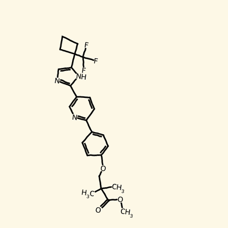 COC(=O)C(C)(C)COc1ccc(-c2ccc(-c3ncc(C4(C(F)(F)F)CCC4)[nH]3)cn2)cc1